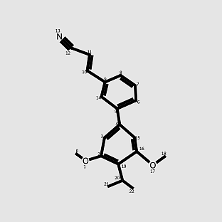 COc1cc(-c2cccc(C=CC#N)c2)cc(OC)c1C(C)C